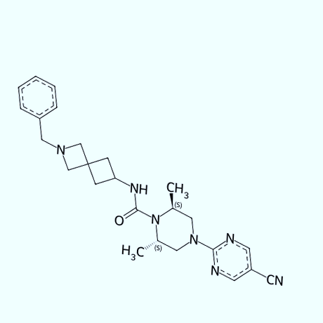 C[C@H]1CN(c2ncc(C#N)cn2)C[C@H](C)N1C(=O)NC1CC2(C1)CN(Cc1ccccc1)C2